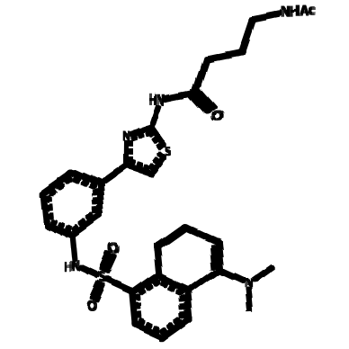 CC(=O)NCCCC(=O)Nc1nc(-c2cccc(NS(=O)(=O)c3cccc4c3CCC=C4N(C)C)c2)cs1